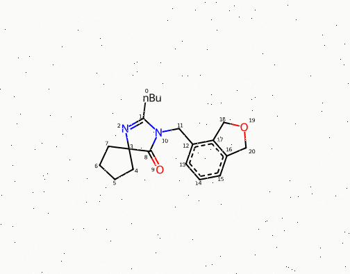 CCCCC1=NC2(CCCC2)C(=O)N1Cc1cccc2c1COC2